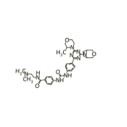 CC1COCCN1c1nc(-c2ccc(NC(=O)Nc3ccc(C(=O)NCCN(C)C)cc3)cc2)nc(N2C3CCC2COC3)n1